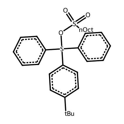 CCCCCCCCS(=O)(=O)OS(c1ccccc1)(c1ccccc1)c1ccc(C(C)(C)C)cc1